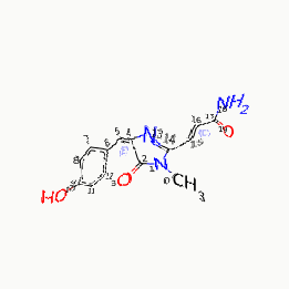 CN1C(=O)/C(=C\c2ccc(O)cc2)N=C1/C=C/C(N)=O